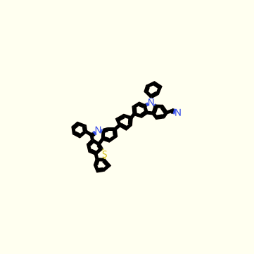 N#Cc1ccc2c3cc(-c4ccc(-c5ccc6c(c5)nc(-c5ccccc5)c5ccc7c8ccccc8sc7c56)cc4)ccc3n(-c3ccccc3)c2c1